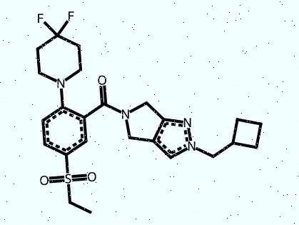 CCS(=O)(=O)c1ccc(N2CCC(F)(F)CC2)c(C(=O)N2Cc3cn(CC4CCC4)nc3C2)c1